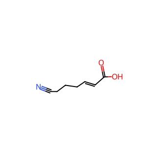 N#CCCC/C=C/C(=O)O